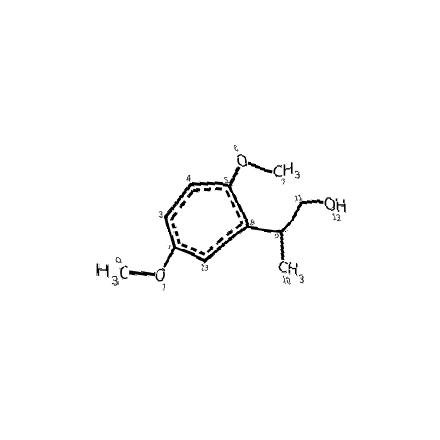 COc1ccc(OC)c([C](C)CO)c1